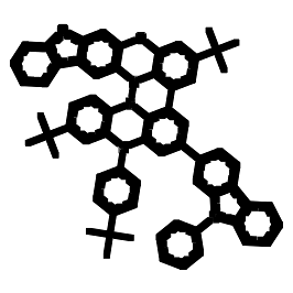 CC(C)(C)c1ccc(N2c3cc(C(C)(C)C)ccc3B3c4c(cc(-c5ccc6c7ccccc7n(-c7ccccc7)c6c5)cc42)-c2cc(C(C)(C)C)cc4c2N3c2cc3c(cc2O4)oc2ccccc23)cc1